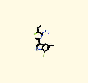 C=C(/N=C(N)\C(F)=C/C)c1c[nH]c2c(F)cc(C)cc12